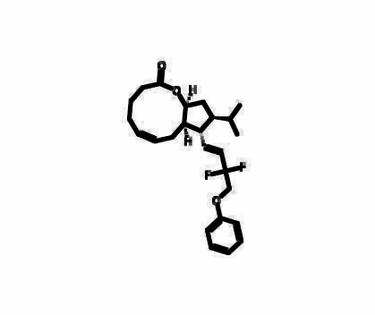 CC(C)[C@@H]1C[C@@H]2OC(=O)CCC/C=C\C[C@@H]2[C@H]1/C=C/C(F)(F)COc1ccccc1